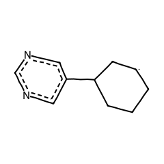 [CH]1CCCC(c2cncnc2)C1